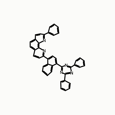 c1ccc(-c2ccc3ccc4ccc(-c5ccc(-c6nc(-c7ccccc7)nc(-c7ccccc7)n6)c6ccccc56)nc4c3n2)cc1